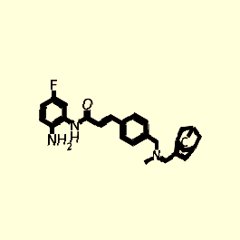 CN(Cc1ccc(/C=C/C(=O)Nc2cc(F)ccc2N)cc1)CC12CC3CC(CC1C3)C2